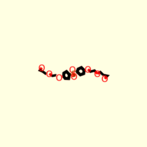 O=S(=O)(c1ccc(OCCOCC2CO2)cc1)c1ccc(OCCOCC2CO2)cc1